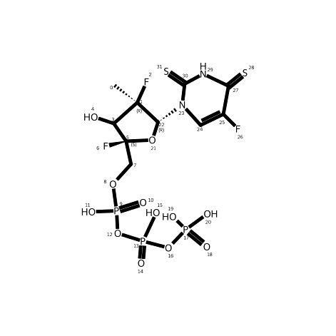 C[C@@]1(F)C(O)[C@@](F)(COP(=O)(O)OP(=O)(O)OP(=O)(O)O)O[C@H]1n1cc(F)c(=S)[nH]c1=S